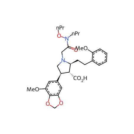 CCCON(CCC)C(=O)CN1C[C@H](c2cc(OC)c3c(c2)OCO3)[C@@H](C(=O)O)[C@@H]1CCc1ccccc1OC